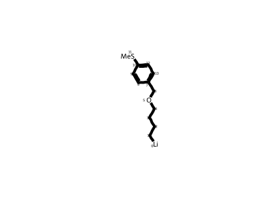 [Li][CH2]CCCOCc1ccc(SC)cc1